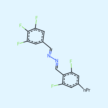 CCCc1cc(F)c(C=NN=Cc2cc(F)c(F)c(F)c2)c(F)c1